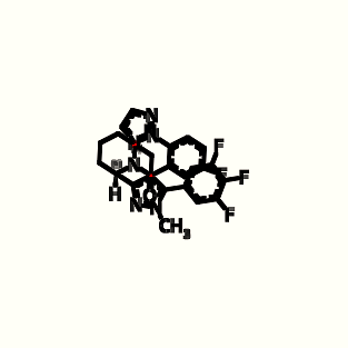 Cn1nc2c(c1-c1cc(F)c(F)c(F)c1)C[C@H]1CCC[C@@H]2N1C(=O)c1cc(F)ccc1-n1nccn1